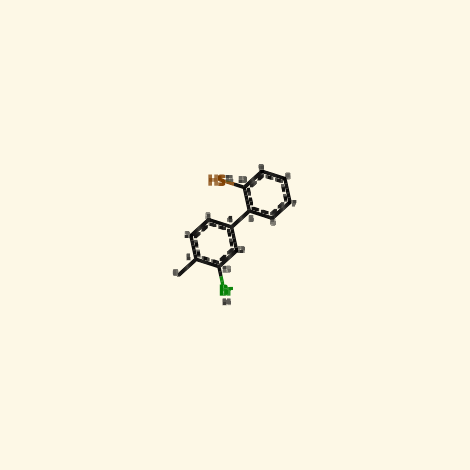 Cc1ccc(-c2ccccc2S)cc1Br